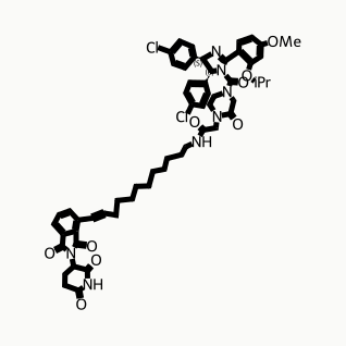 COc1ccc(C2=N[C@@H](c3ccc(Cl)cc3)[C@@H](c3ccc(Cl)cc3)N2C(=O)N2CCN(CC(=O)NCCCCCCCCCCC#Cc3cccc4c3C(=O)N(C3CCC(=O)NC3=O)C4=O)C(=O)C2)c(OC(C)C)c1